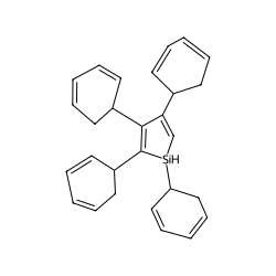 C1=CCC(C2=C[SiH](C3C=CC=CC3)C(C3C=CC=CC3)=C2C2C=CC=CC2)C=C1